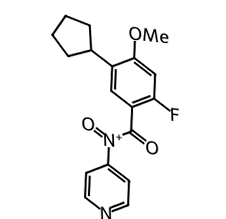 COc1cc(F)c(C(=O)[N+](=O)c2ccncc2)cc1C1CCCC1